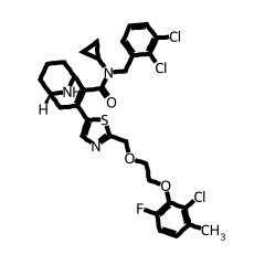 Cc1ccc(F)c(OCCOCc2ncc(C3=C(C(=O)N(Cc4cccc(Cl)c4Cl)C4CC4)C4CCC[C@@H](C3)N4)s2)c1Cl